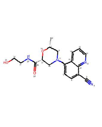 C[C@@H]1CN(c2ccc(C#N)c3ncccc23)C[C@H](C(=O)NCCO)O1